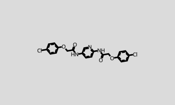 O=C(COc1ccc(Cl)cc1)Nc1ccc(NC(=O)COc2ccc(Cl)cc2)nc1